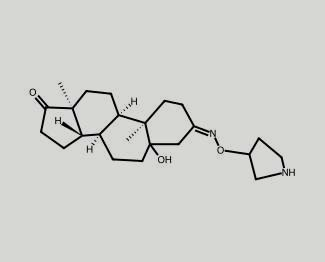 C[C@]12CC[C@@H]3[C@@H](CCC4(O)CC(=NOC5CCNC5)CC[C@]34C)[C@@H]1CCC2=O